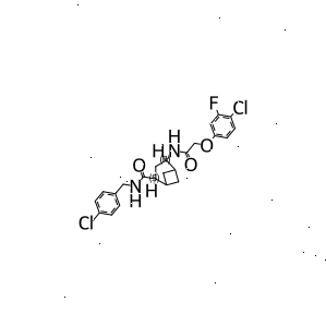 O=C(COc1ccc(Cl)c(F)c1)N[C@@H]1C[C@H](C(=O)NCc2ccc(Cl)cc2)C2CC1C2